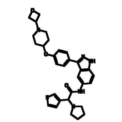 O=C(Nc1ccc2[nH]nc(-c3ccc(OC4CCN(C5COC5)CC4)cc3)c2c1)C(c1ccsc1)N1CCCC1